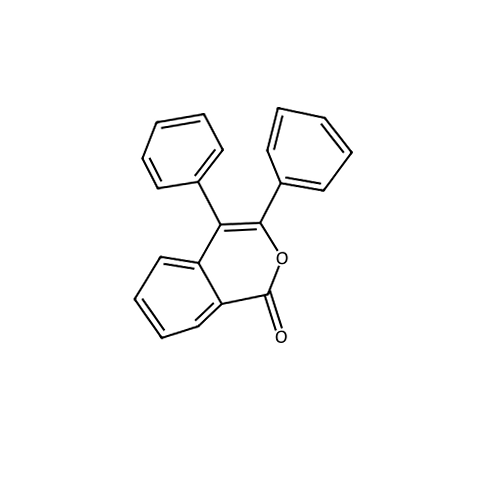 O=c1oc(-c2ccccc2)c(-c2ccccc2)c2ccccc12